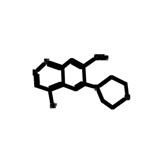 COc1cc2nncc(Br)c2cc1N1CCOCC1